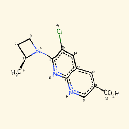 C[C@H]1CCN1c1nc2ncc(C(=O)O)cc2cc1Cl